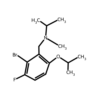 CC(C)Oc1ccc(F)c(Br)c1CN(C)C(C)C